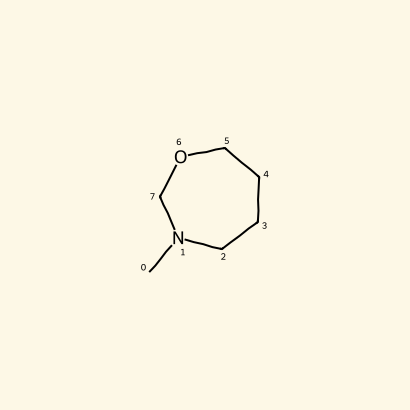 CN1CCCCOC1